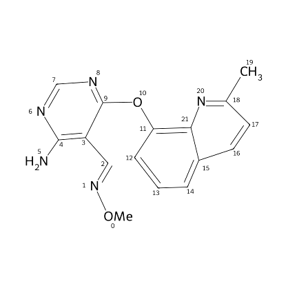 CON=Cc1c(N)ncnc1Oc1cccc2ccc(C)nc12